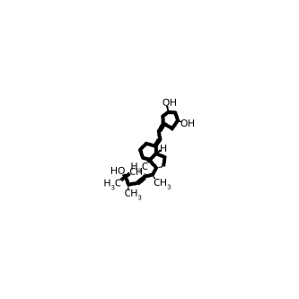 C[C@H](/C=C/[C@H](C)C(C)(C)O)[C@H]1CC[C@H]2/C(=C/C=C3C[C@@H](O)C[C@H](O)C3)CCCC12C